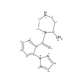 CC1CCNCCN1C(=O)c1ccccc1-n1nccn1